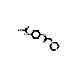 O=C(O)N[C@H]1CC[C@H](NC(=O)CN2CCOCC2)CC1